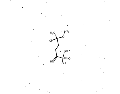 COC(C)(Cl)CCC(=N)P(=O)(O)O